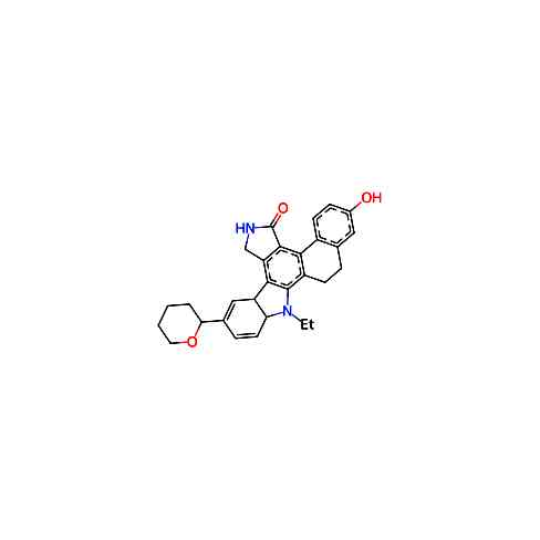 CCN1c2c3c(c4c(c2C2C=C(C5CCCCO5)C=CC21)CNC4=O)-c1ccc(O)cc1CC3